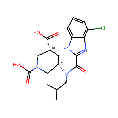 CC(C)CN(C(=O)c1nc2c(Cl)cccc2[nH]1)[C@H]1C[C@@H](C(=O)O)CN(C(=O)O)C1